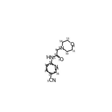 N#Cc1ccc(NC(=O)CN2CCOCC2)nc1